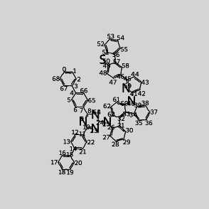 c1ccc(-c2ccc(-c3nc(-c4ccc(-c5ccccc5)cc4)nc(-n4c5ccccc5c5c6c7ccccc7n(-c7cccc(-c8ccc9sc%10ccccc%10c9c8)n7)c6ccc54)n3)cc2)cc1